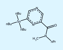 CCC[CH2][Sn]([CH2]CCC)([CH2]CCC)[c]1cncc(C(=O)N(C)CCC)n1